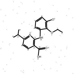 CCOc1c(Cl)cccc1Nc1nc(C(C)C)ccc1C(=O)O